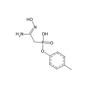 Cc1ccc(OP(=O)(O)CC(N)=NO)cc1